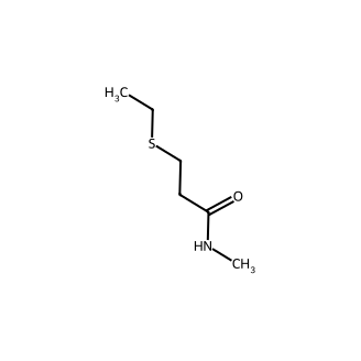 CCSCCC(=O)NC